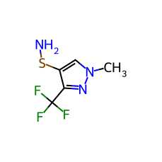 Cn1cc(SN)c(C(F)(F)F)n1